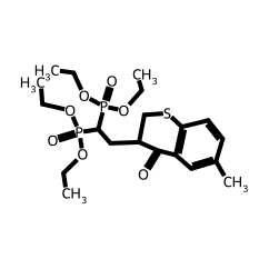 CCOP(=O)(OCC)C(CC1CSc2ccc(C)cc2C1=O)P(=O)(OCC)OCC